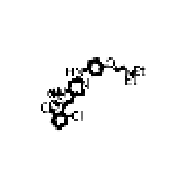 CCN(CC)CCOc1ccc(Nc2cc3c(cn2)C=C(c2c(Cl)cccc2Cl)S(=O)(=O)N3)cc1